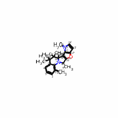 Cc1cccc2c1N1[C@@H](C)c3oc4ccn(C)c4c3C1(C)C(C)(C)C2(C)C